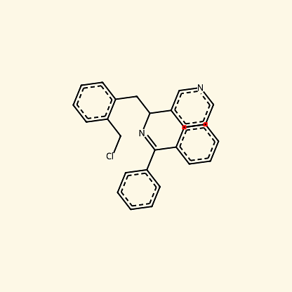 ClCc1ccccc1CC(N=C(c1ccccc1)c1ccccc1)c1cccnc1